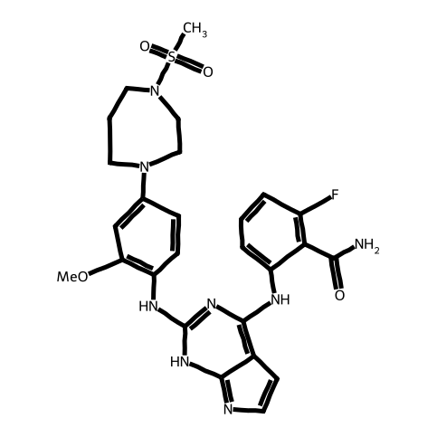 COc1cc(N2CCCN(S(C)(=O)=O)CC2)ccc1Nc1nc(Nc2cccc(F)c2C(N)=O)c2ccnc-2[nH]1